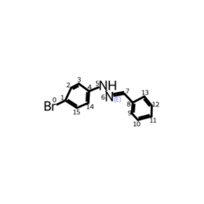 Brc1ccc(N/N=C/c2ccccc2)cc1